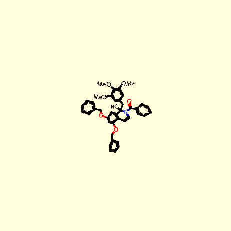 COc1cc(CC2(C#N)c3cc(OCc4ccccc4)cc(OCc4ccccc4)c3C=CN2C(=O)c2ccccc2)cc(OC)c1OC